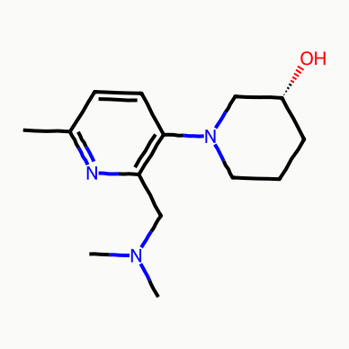 Cc1ccc(N2CCC[C@@H](O)C2)c(CN(C)C)n1